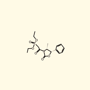 CCOP(=O)(CC(=O)N1C(=O)O[C@@H](c2ccccc2)[C@H]1C)OCC